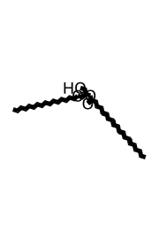 CCCCCC=CCC=CCC=CCC=CCCCC(=O)OC(CO)COCCCCCCCCCCCCCCCC